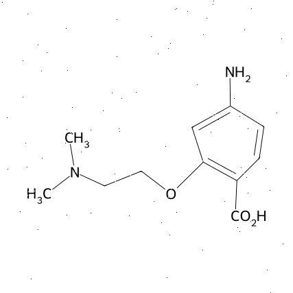 CN(C)CCOc1cc(N)ccc1C(=O)O